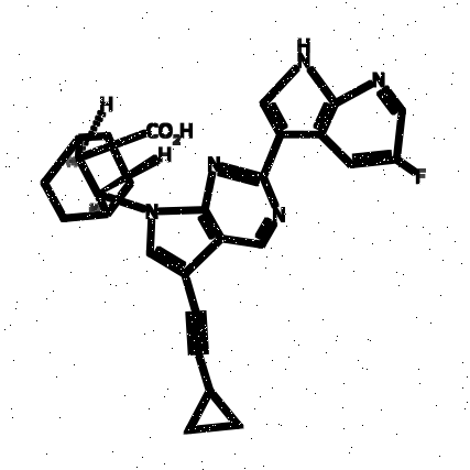 O=C(O)[C@@H]1C2CCC(CC2)[C@H]1n1cc(C#CC2CC2)c2cnc(-c3c[nH]c4ncc(F)cc34)nc21